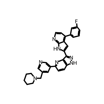 Fc1cccc(-c2ccnc3[nH]c(-c4n[nH]c5ccc(-c6cncc(CN7CCCCC7)c6)nc45)cc23)c1